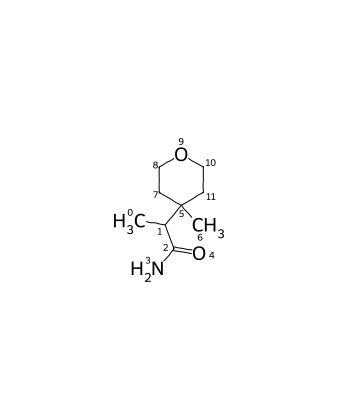 CC(C(N)=O)C1(C)CCOCC1